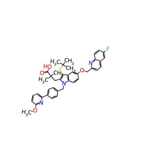 COc1cccc(-c2ccc(Cn3c(CC(C)(C)C(=O)O)c(SC(C)(C)C)c4cc(OCc5ccc6cc(F)ccc6n5)ccc43)cc2)n1